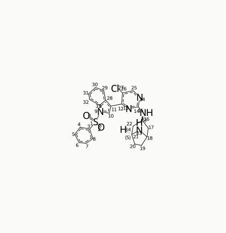 O=S(=O)(c1ccccc1)n1cc(-c2nc(N[C@H]3CC4CC[C@@H](C3)N4)ncc2Cl)c2ccccc21